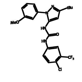 COc1cccc(-n2nc(C(C)(C)C)cc2NC(=O)Nc2ccc(Cl)c(C(F)(F)F)c2)c1